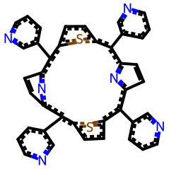 C1=Cc2nc1c(-c1cccnc1)c1ccc(s1)c(-c1cccnc1)c1nc(c(-c3cccnc3)c3ccc(s3)c2-c2cccnc2)C=C1